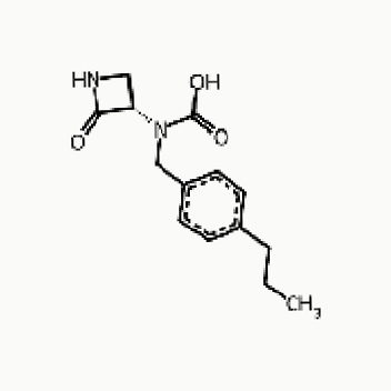 CCCc1ccc(CN(C(=O)O)[C@H]2CNC2=O)cc1